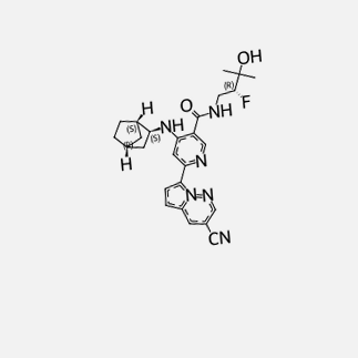 CC(C)(O)[C@H](F)CNC(=O)c1cnc(-c2ccc3cc(C#N)cnn23)cc1N[C@H]1C[C@@H]2CC[C@H]1C2